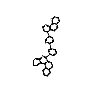 C1=c2nc(-c3cccc(-c4ccc(-c5ccnc6c5ccc5cccnc56)cn4)c3)c3ccc4ccccc4c3c2=CCC1